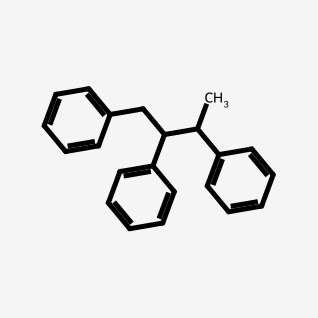 CC(c1ccccc1)C(Cc1ccccc1)c1ccccc1